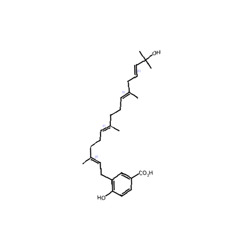 C/C(=C\CC/C(C)=C/CC/C(C)=C/Cc1cc(C(=O)O)ccc1O)C/C=C/C(C)(C)O